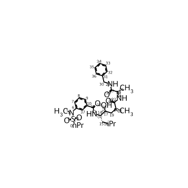 CCCS(=O)(=O)N(C)c1cccc(C(=O)N[C@@H](CC(C)C)[C@@H](O)C[C@@H](C)C(=O)N[C@@H](C)C(=O)NCc2ccccc2)c1